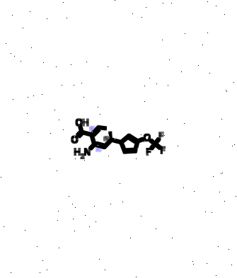 C/C=C(C(=O)O)\C(N)=C/[C@@H](C)C1C=CC(OC(F)(F)F)=C1